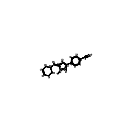 Cn1nc(-c2ccc(C#N)cc2)s/c1=N/C1CC=CCC1